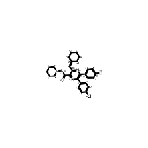 O=C(NN1CCCCC1)c1nc(-c2ccc(Cl)cc2)c(-c2ccc(Cl)cc2)nc1C=C1CCCCC1